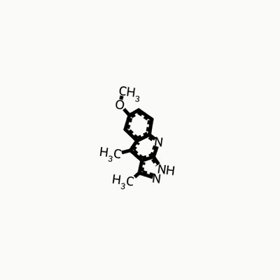 COc1ccc2nc3[nH]nc(C)c3c(C)c2c1